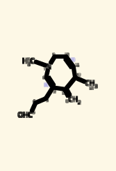 C=C1/C(CCC=O)=C\N(C)C/C=C\C1C